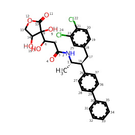 C[C@H](NC(=O)CC(O)C1(O)C(=O)OCC1O)[C@@H](Cc1ccc(Cl)c(Cl)c1)c1ccc(-c2ccccc2)cc1